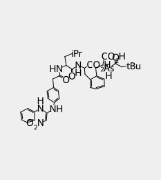 CC(C)CC(NC(=O)Cc1ccc(NC(=C[N+](=O)[O-])Nc2ccccc2)cc1)C(=O)NC(Cc1ccccc1CC([AsH]C(=O)CC(C)(C)C)C(=O)O)C(=O)O